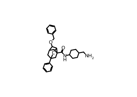 NCC1CCC(NC(=O)C23CC4CC(c5ccccc5)(CC2C4OCc2ccccc2)C3)CC1